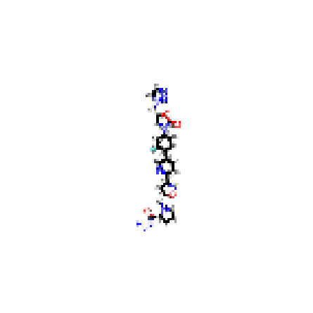 NC(=O)[C@@H]1CCCN1C[C@@H]1CC(c2ccc(-c3ccc(N4C[C@H](Cn5ccnn5)OC4=O)cc3F)cn2)=NO1